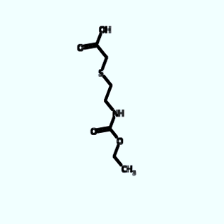 CCOC(=O)NCCSCC(=O)O